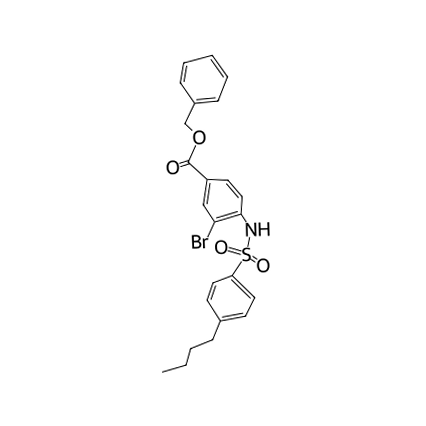 CCCCc1ccc(S(=O)(=O)Nc2ccc(C(=O)OCc3ccccc3)cc2Br)cc1